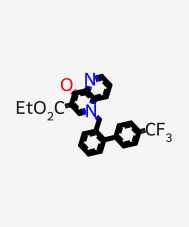 CCOC(=O)c1cn(Cc2ccccc2-c2ccc(C(F)(F)F)cc2)c2cccnc2c1=O